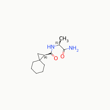 C[C@H](NC(=O)[C@@H]1CC12CCCCC2)C(N)=O